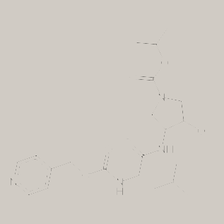 CC(C)C[C@H](NC(=O)OCc1ccncc1)C(=O)NC1CN(C(=O)OC(C)C)CC1O